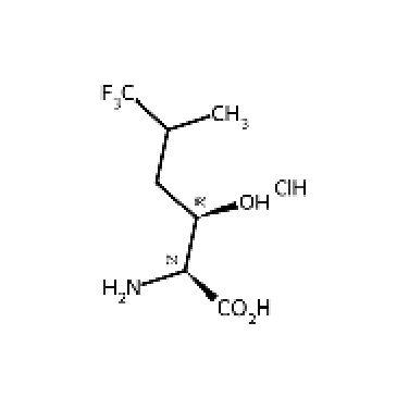 CC(C[C@@H](O)[C@H](N)C(=O)O)C(F)(F)F.Cl